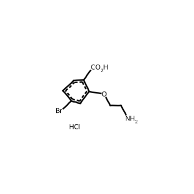 Cl.NCCOc1cc(Br)ccc1C(=O)O